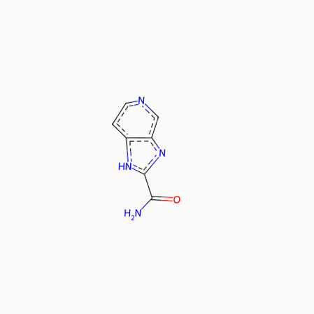 NC(=O)c1nc2cnccc2[nH]1